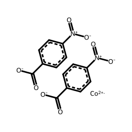 O=C([O-])c1ccc([N+](=O)[O-])cc1.O=C([O-])c1ccc([N+](=O)[O-])cc1.[Co+2]